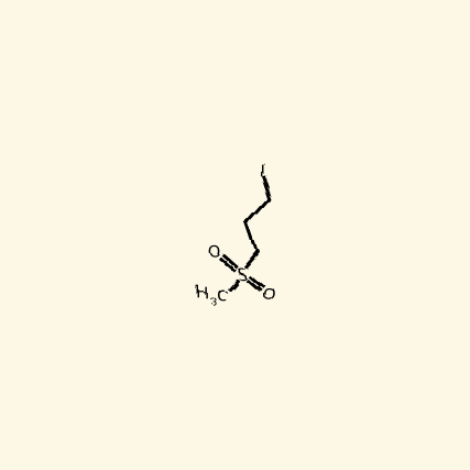 CS(=O)(=O)CCCI